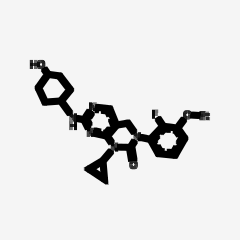 CCOc1cccc(N2Cc3cnc(NC4CCC(O)CC4)nc3N(C3CC3)C2=O)c1F